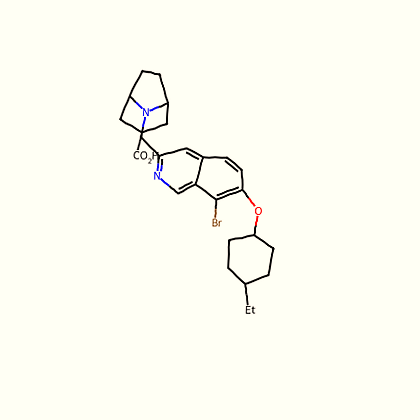 CCC1CCC(Oc2ccc3cc(CN4C5CCC4CC(C(=O)O)C5)ncc3c2Br)CC1